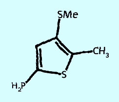 CSc1cc(P)sc1C